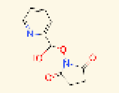 O=C1CCC(=O)N1OC(O)c1ccccn1